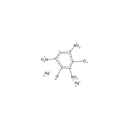 O=[N+]([O-])c1cc([N+](=O)[O-])c([O-])c([N+](=O)[O-])c1[O-].[Ag+].[Ag+]